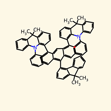 CC1(C)c2ccccc2-c2c(-c3c4cccc(-c5cccc6c5N(c5ccccc5)c5ccccc5C6(C)C)c4cc4c(-c5cccc6c5N(c5ccccc5)c5ccccc5C6(C)C)cccc34)cccc21